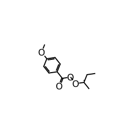 CC[C](C)OOC(=O)c1ccc(OC)cc1